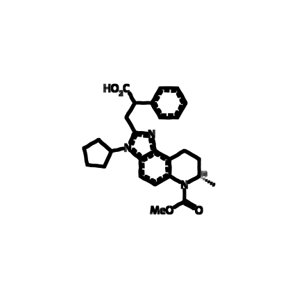 COC(=O)N1c2ccc3c(nc(CC(C(=O)O)c4ccccc4)n3C3CCCC3)c2CC[C@@H]1C